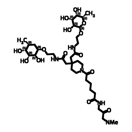 CNCC(=O)CNC(=O)CCCCC(=O)N1CCC(CC(=O)NCCO[C@@H]2O[C@@H](C)[C@@H](O)[C@@H](O)[C@@H]2O)(CC(=O)NCCO[C@@H]2C[C@@H](C)[C@@H](O)[C@@H](O)[C@@H]2O)CC1